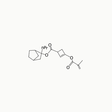 C=C(C)C(=O)OC1=CC(C(=O)OC2(CCC)CC3CCC2C3)C1